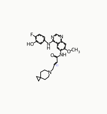 COc1cc2ncnc(Nc3ccc(F)c(O)c3)c2cc1NC(=O)/C=C/CN1CCC2(CC1)CC2